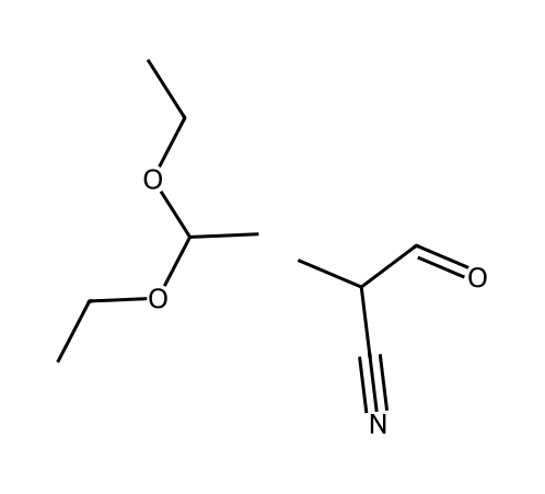 CC(C#N)C=O.CCOC(C)OCC